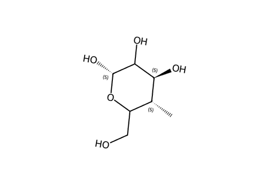 C[C@@H]1C(CO)O[C@H](O)C(O)[C@H]1O